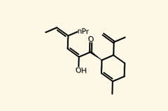 C=C(C)C1CCC(C)=C[C@H]1C(=O)/C(O)=C\C(=C/C)CCC